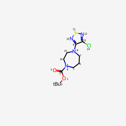 CC(C)(C)OC(=O)N1CCCN(c2nsnc2Cl)CC1